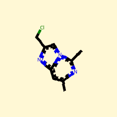 Cc1cc2nc(CCl)cn2c(C)n1